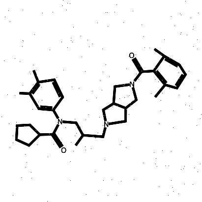 Cc1ccc(N(CC(C)CN2CC3CN(C(=O)c4c(C)cccc4C)CC3C2)C(=O)C2CCCC2)cc1C